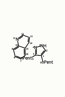 CCCCCc1c[nH]nc1CCCCC.c1ccc2ncccc2c1